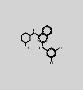 CC1CCCC(Nc2nc(Nc3cc(Cl)cc(Cl)c3)nc3ccccc23)C1